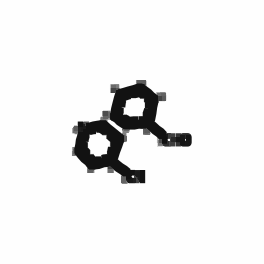 N#Cc1ccncc1.O=Cc1ccccc1